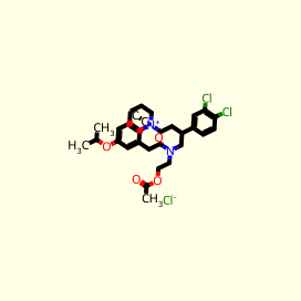 CC(=O)OCCN(CC(CC[N+]12CCC(CC1)CC2)c1ccc(Cl)c(Cl)c1)C(=O)Cc1cccc(OC(C)C)c1.[Cl-]